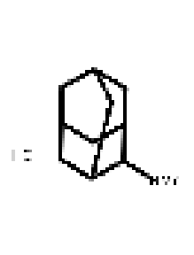 CNC1C2CC3CC(C2)CC1C3.Cl